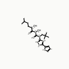 CC(C)CC[C@H](O)C(=O)N(O)C(=O)N(CC(C)(C)C)c1noc(-c2ccco2)n1